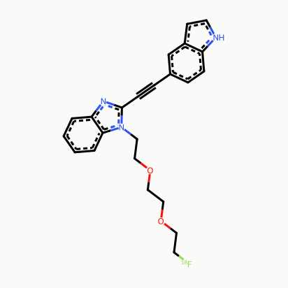 [18F]CCOCCOCCn1c(C#Cc2ccc3[nH]ccc3c2)nc2ccccc21